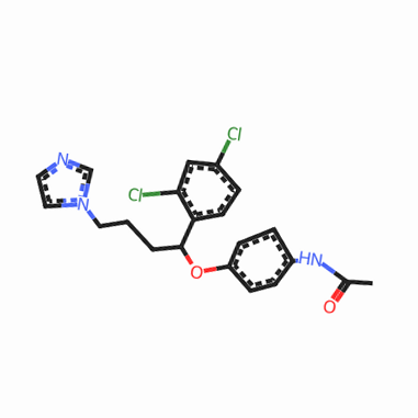 CC(=O)Nc1ccc(OC(CCCn2ccnc2)c2ccc(Cl)cc2Cl)cc1